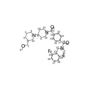 COCC1CCCN(C2CCN(C(=O)c3ccc(C(=O)N(C)Cc4c(F)cccc4F)cc3)CC2)C1